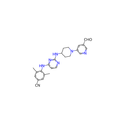 Cc1cc(C#N)cc(C)c1Nc1ccnc(NC2CCN(c3cncc(C=O)c3)CC2)n1